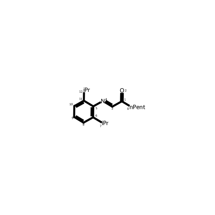 CCCCCC(=O)C=Nc1c(C(C)C)cccc1C(C)C